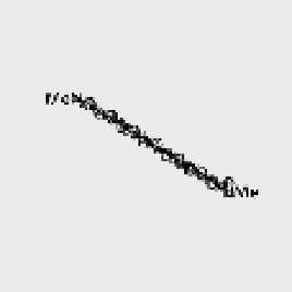 CNCCOCCOCCOCCOCCOCCOCCOCCOCCOCCOCCOCCOCCC(=O)NC